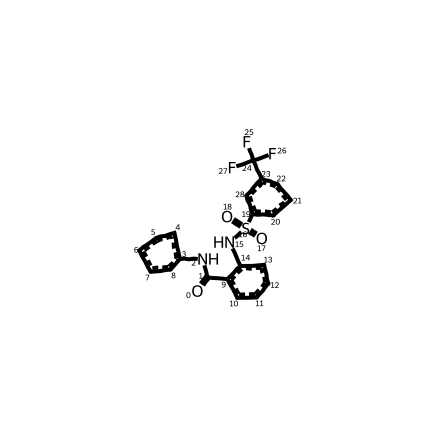 O=C(Nc1ccccc1)c1ccccc1NS(=O)(=O)c1cccc(C(F)(F)F)c1